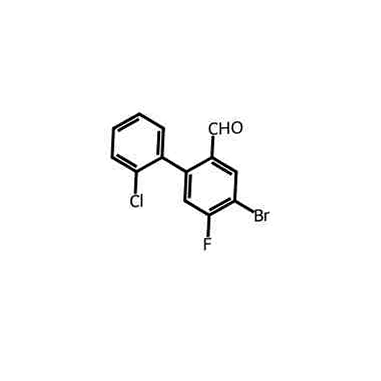 O=Cc1cc(Br)c(F)cc1-c1ccccc1Cl